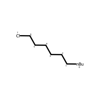 CCCCCCCCC[CH]Cl